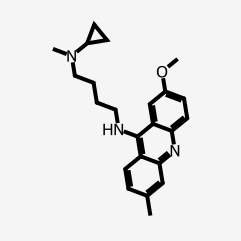 COc1ccc2nc3cc(C)ccc3c(NCCCCN(C)C3CC3)c2c1